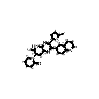 Cc1ccc(-c2nc3[nH]c(=O)c(-n4ccccc4=O)cc3nc2-c2ccc3ncccc3c2)s1